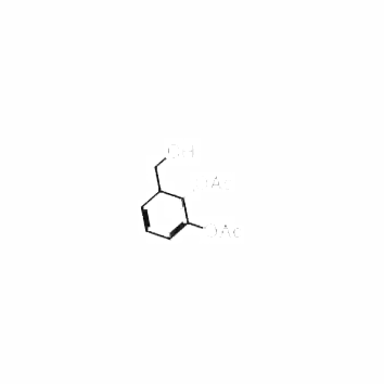 CC(=O)OC1=CC=CC(CO)[C@@H]1OC(C)=O